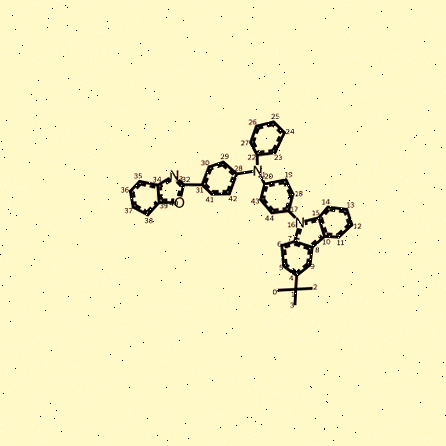 CC(C)(C)c1ccc2c(c1)c1ccccc1n2-c1ccc(N(c2ccccc2)c2ccc(-c3nc4ccccc4o3)cc2)cc1